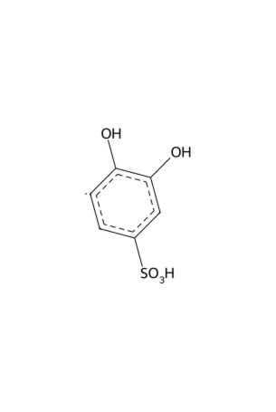 O=S(=O)(O)c1c[c]c(O)c(O)c1